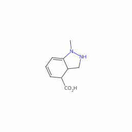 CN1NCC2C1=CC=CC2C(=O)O